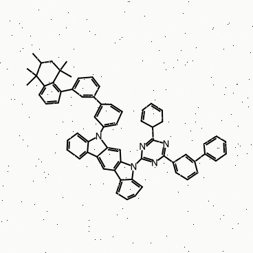 CC1CC(C)(C)c2c(-c3cccc(-c4cccc(-n5c6ccccc6c6cc7c8ccccc8n(-c8nc(-c9cccc(-c%10ccccc%10)c9)nc(C9C=CC=CC9)n8)c7cc65)c4)c3)cccc2C1(C)C